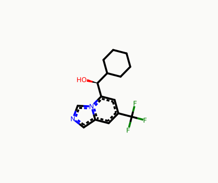 O[C@H](c1cc(C(F)(F)F)cc2cncn12)C1CCCCC1